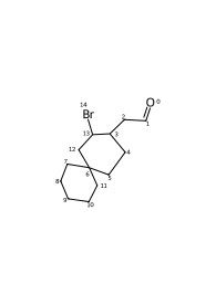 O=CCC1CCC2(CCCCC2)CC1Br